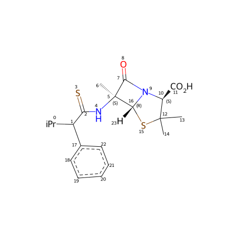 CC(C)C(C(=S)N[C@@]1(C)C(=O)N2[C@@H](C(=O)O)C(C)(C)S[C@@H]21)c1ccccc1